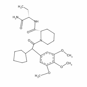 CC[C@H](NC(=O)[C@@H]1CCCCN1C(=O)C(c1cc(OC)c(OC)c(OC)c1)C1CCCCC1)C(N)=O